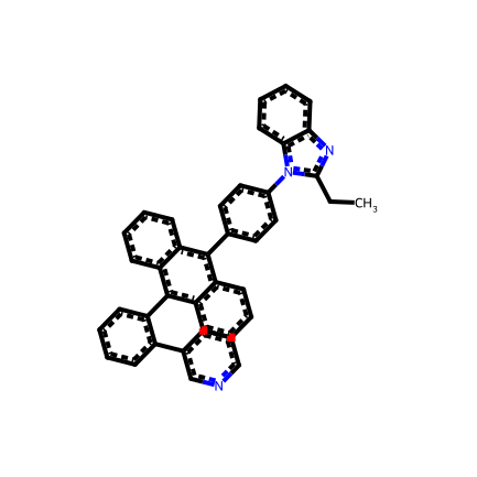 CCc1nc2ccccc2n1-c1ccc(-c2c3ccccc3c(-c3ccccc3-c3cccnc3)c3ccccc23)cc1